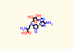 Nc1ncnc2c1ncn2[C@@H]1O[C@H](CN(CC[C@H](N)C(=O)O)C2CCCNC2)[C@@H](O)[C@H]1O